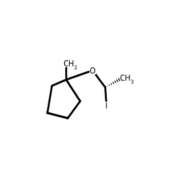 C[C@H](I)OC1(C)CCCC1